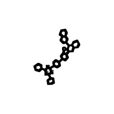 C1=CC2=Cc3c(oc4cc(-c5ccc(-c6nc(-c7ccccc7)nc(-c7ccccc7)n6)cc5)ccc34)C(c3ccc4ccccc4c3)C2C=C1